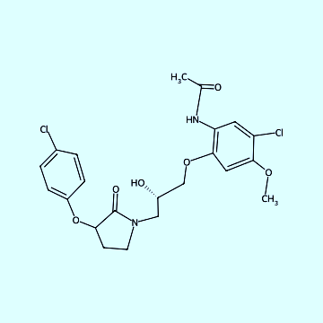 COc1cc(OC[C@@H](O)CN2CCC(Oc3ccc(Cl)cc3)C2=O)c(NC(C)=O)cc1Cl